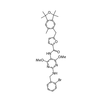 COc1nc(NCc2ccccc2Br)nc(OC)c1NC(=O)c1ccc(Cc2cc3c(cc2C)C(C)(C)OC3(C)C)o1